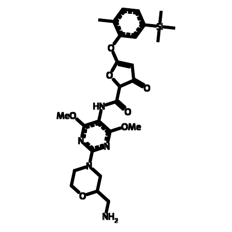 COc1nc(N2CCOC(CN)C2)nc(OC)c1NC(=O)C1OC(Oc2cc([Si](C)(C)C)ccc2C)=CC1=O